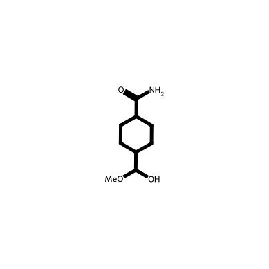 COC(O)C1CCC(C(N)=O)CC1